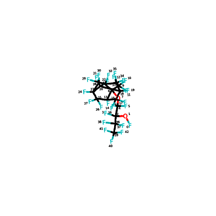 FOC(F)(C(F)(F)OC1(C(F)(F)F)C2(F)C(F)(F)C3(F)C(F)(F)C(F)(C2(F)F)C(F)(F)C1(F)C3(F)F)C(F)(F)C(F)(F)F